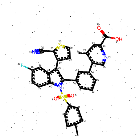 Cc1ccc(S(=O)(=O)n2c(-c3cccc(-c4cnc(C(=O)O)cc4C)c3)c(-c3ccsc3C#N)c3cc(F)ccc32)cc1